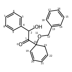 O=C(C(O)c1ccccc1)C1(OCc2ccccc2)C=CC=CC1